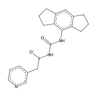 O=C(Nc1c2c(cc3c1CCC3)CCC2)N[S+]([O-])Cc1cccnc1